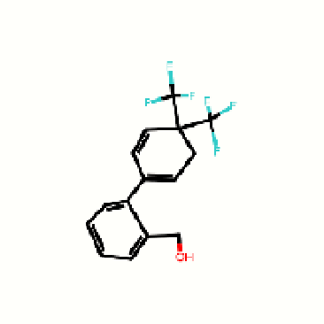 OCc1ccccc1C1=CCC(C(F)(F)F)(C(F)(F)F)C=C1